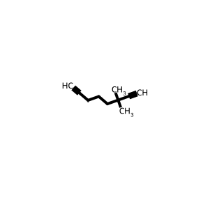 C#C[CH]CCC(C)(C)C#C